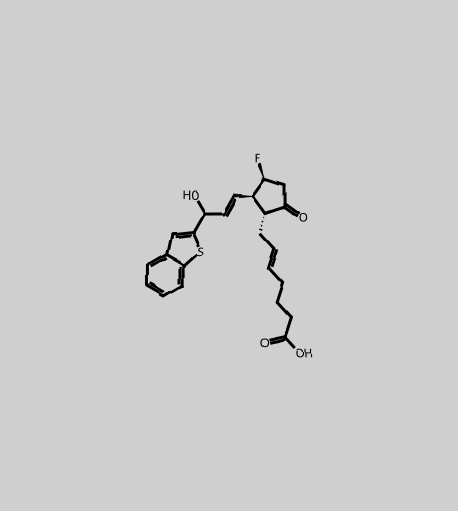 O=C(O)CCCC=CC[C@H]1C(=O)C[C@H](F)[C@@H]1C=CC(O)c1cc2ccccc2s1